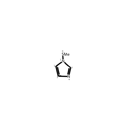 CSn1ccnc1